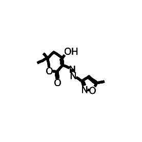 Cc1cc(N=NC2=C(O)CC(C)(C)OC2=O)no1